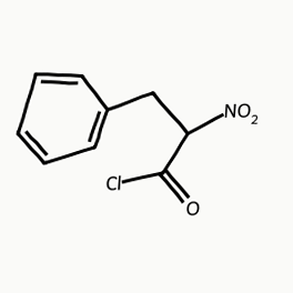 O=C(Cl)C(Cc1ccccc1)[N+](=O)[O-]